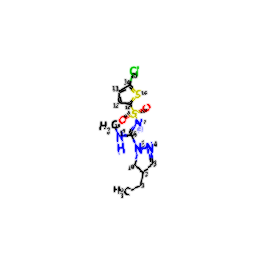 CCC1C=NN(/C(=N/S(=O)(=O)c2ccc(Cl)s2)NC)C1